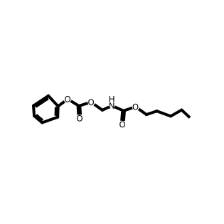 CCCCCOC(=O)NCOC(=O)Oc1ccccc1